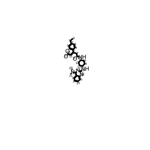 CCc1ccc2c(CC(=O)N[C@H]3CC[C@@H](Nc4nc(N(C)C)c5ccccc5n4)CC3)cc(=O)oc2c1